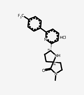 CN1CC[C@]2(CC[C@H](c3cccc(-c4ccc(C(F)(F)F)cc4)n3)N2)C1=O.Cl